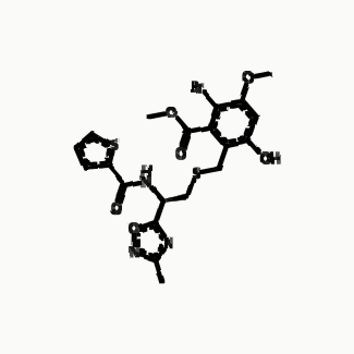 COC(=O)c1c(Br)c(OC)cc(O)c1CSC[C@H](NC(=O)c1cccs1)c1nc(C)no1